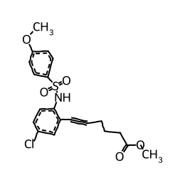 COC(=O)CCCC#Cc1cc(Cl)ccc1NS(=O)(=O)c1ccc(OC)cc1